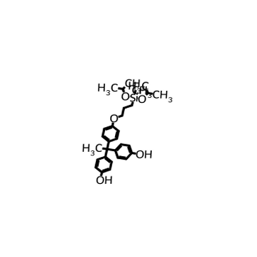 CC(C)O[Si](C)(CCCOc1ccc(C(C)(c2ccc(O)cc2)c2ccc(O)cc2)cc1)OC(C)C